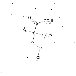 CCC(CCCl)(C(=O)O)C(=O)C(=O)O